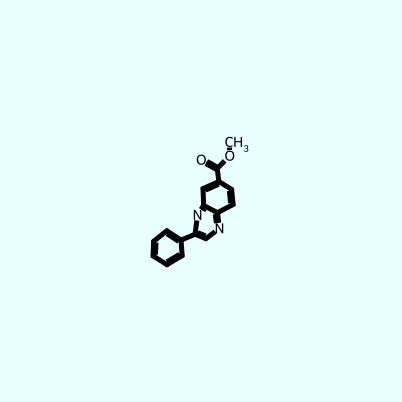 COC(=O)c1ccc2ncc(-c3ccccc3)nc2c1